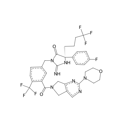 N=C1N[C@](CCCC(F)(F)F)(c2ccc(F)cc2)C(=O)N1Cc1ccc(C(F)(F)F)c(C(=O)N2Cc3cnc(N4CCOCC4)nc3C2)c1